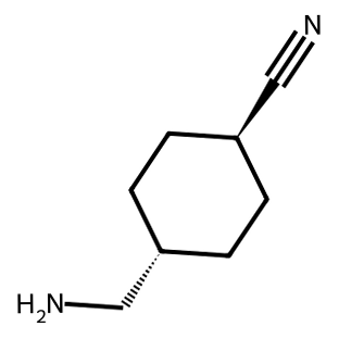 N#C[C@H]1CC[C@H](CN)CC1